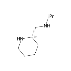 CC(C)NC[C@@H]1CCCCN1